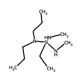 CCCN(CCC)[Si](CC)(NC)NC